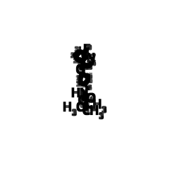 CC(C)(C)OC(=O)NC[C@H]1CC[C@H](Oc2ccnc3c(F)cccc23)CC1